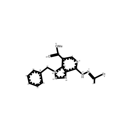 CC/C(C)=N/Nc1ncc(C(=O)OC)c2c1nnn2Cc1ccccc1